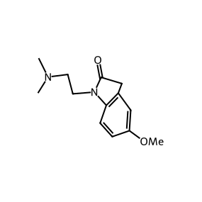 COc1ccc2c(c1)CC(=O)N2CCN(C)C